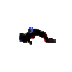 CCCCOCCOc1ccc(-c2ccc(C(F)(F)F)c(/C=C/C(=O)Nc3ccc([S+]([O-])Cc4c(C)ncn4CC)cc3)c2)cc1